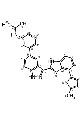 Cc1ccc(-c2cccc3[nH]c(-c4n[nH]c5ncc(-c6cncc(NC(C)C)c6)cc45)nc23)s1